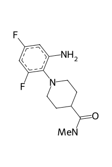 CNC(=O)C1CCN(c2c(N)cc(F)cc2F)CC1